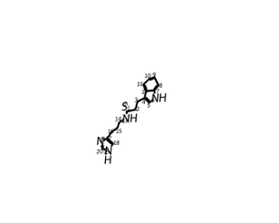 S=C(CCc1c[nH]c2ccccc12)NCCCc1c[nH]cn1